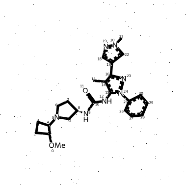 COC1CCC1N1CC[C@H](NC(=O)Nc2c(C)c(-c3cnn(C)c3)nn2-c2ccccc2)C1